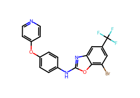 FC(F)(F)c1cc(Br)c2oc(Nc3ccc(Oc4ccncc4)cc3)nc2c1